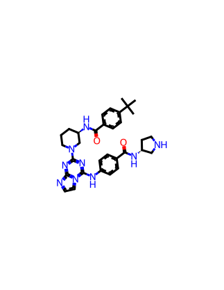 CC(C)(C)c1ccc(C(=O)N[C@@H]2CCCN(c3nc(Nc4ccc(C(=O)N[C@@H]5CCNC5)cc4)n4ccnc4n3)C2)cc1